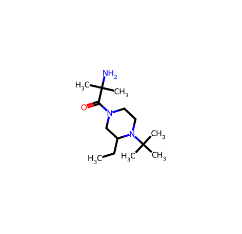 CCC1CN(C(=O)C(C)(C)N)CCN1C(C)(C)C